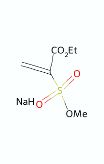 C=C(C(=O)OCC)S(=O)(=O)OC.[NaH]